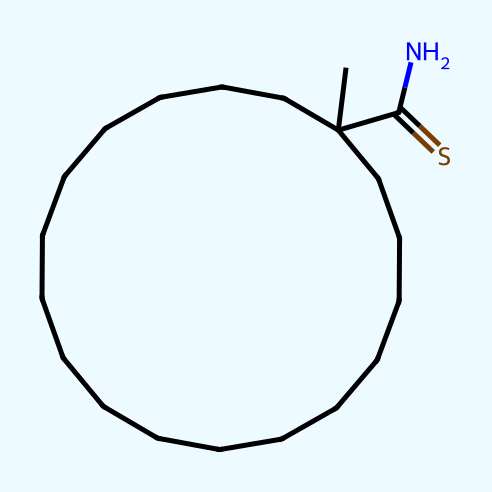 CC1(C(N)=S)CCCCCCCCCCCCCCCCC1